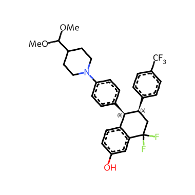 COC(OC)C1CCN(c2ccc([C@@H]3c4ccc(O)cc4C(F)(F)C[C@@H]3c3ccc(C(F)(F)F)cc3)cc2)CC1